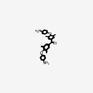 CCC(c1cc(C)c(Oc2ccc(N)cc2)c(C)c1)c1cc(C)c(Oc2ccc(N)cc2)c(C)c1